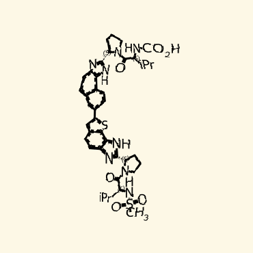 CC(C)[C@H](NC(=O)O)C(=O)N1CCC[C@H]1c1nc2ccc3cc(-c4cc5ccc6nc([C@@H]7CCCN7C(=O)[C@@H](NS(C)(=O)=O)C(C)C)[nH]c6c5s4)ccc3c2[nH]1